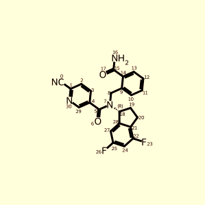 N#Cc1ccc(C(=O)N(Cc2ccccc2C(N)=O)[C@@H]2CCc3c(F)cc(F)cc32)cn1